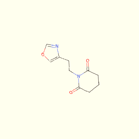 O=C1CCCC(=O)N1CCc1cocn1